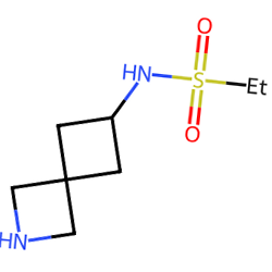 CCS(=O)(=O)NC1CC2(CNC2)C1